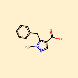 Cn1ncc(C(=O)O)c1Cc1ccccc1